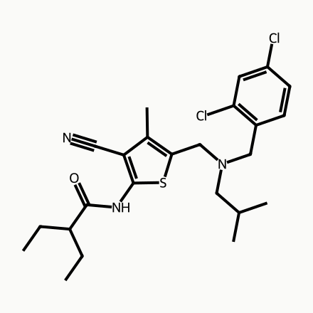 CCC(CC)C(=O)Nc1sc(CN(Cc2ccc(Cl)cc2Cl)CC(C)C)c(C)c1C#N